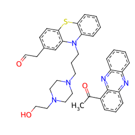 CC(=O)c1cccc2nc3ccccc3nc12.O=CCc1ccc2c(c1)N(CCCN1CCN(CCO)CC1)c1ccccc1S2